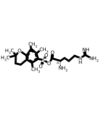 Cc1c(C)c(S(=O)(=O)OC(=O)[C@@H](N)CCCNC(=N)N)c(C)c2c1OC(C)(C)CC2